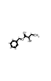 CC[C](Br)C(=O)OCc1ccccc1